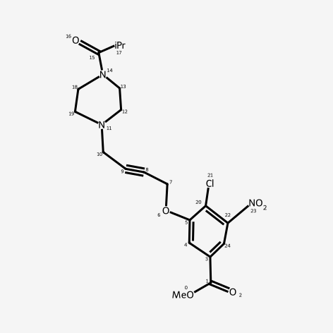 COC(=O)c1cc(OCC#CCN2CCN(C(=O)C(C)C)CC2)c(Cl)c([N+](=O)[O-])c1